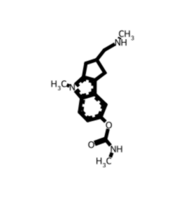 CNCC1Cc2c(n(C)c3ccc(OC(=O)NC)cc23)C1